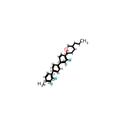 CCCC1CCC(c2ccc(-c3ccc(-c4ccc(C)c(F)c4F)cc3)c(F)c2F)OC1